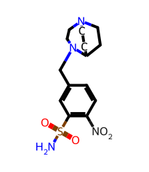 NS(=O)(=O)c1cc(CN2CCN3CCC2CC3)ccc1[N+](=O)[O-]